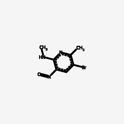 CNc1nc(C)c(Br)cc1N=O